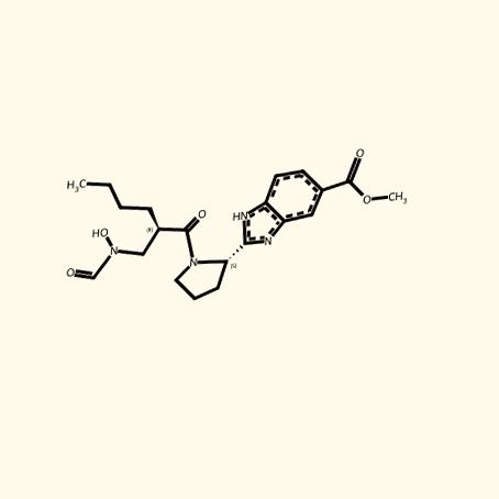 CCCC[C@H](CN(O)C=O)C(=O)N1CCC[C@H]1c1nc2cc(C(=O)OC)ccc2[nH]1